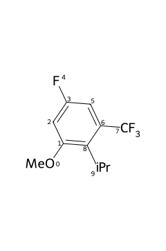 COc1cc(F)cc(C(F)(F)F)c1C(C)C